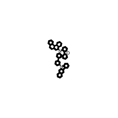 C1=CC2=C(N(c3ccc(-c4cccc(-n5c6ccccc6c6cc7ccccc7cc65)c4)cc3)c3cccc4oc5ccccc5c34)C=C3C=Cc4ccccc4C3C2C=C1